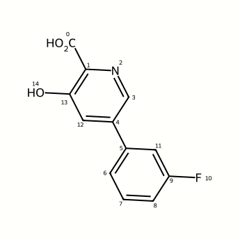 O=C(O)c1ncc(-c2cccc(F)c2)cc1O